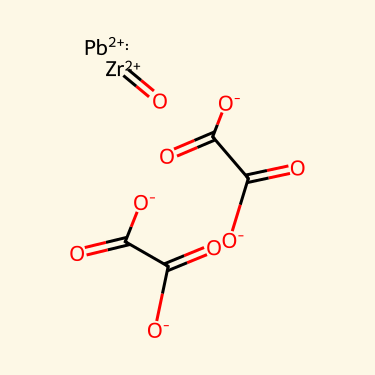 O=C([O-])C(=O)[O-].O=C([O-])C(=O)[O-].[O]=[Zr+2].[Pb+2]